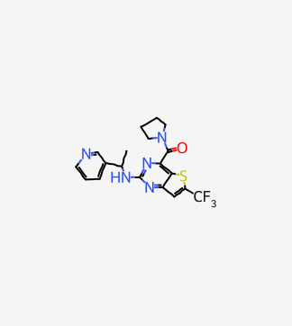 CC(Nc1nc(C(=O)N2CCCC2)c2sc(C(F)(F)F)cc2n1)c1cccnc1